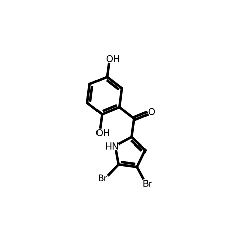 O=C(c1cc(Br)c(Br)[nH]1)c1cc(O)ccc1O